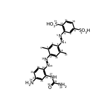 Cc1cc(/N=N/c2cc(S(=O)(=O)O)ccc2S(=O)(=O)O)c(C)cc1/N=N/c1ccc(N)cc1NC(N)=O